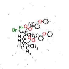 CC1(C)C(C(=O)OC(C#N)c2cccc(Oc3ccccc3)c2)C1(C)C.CC1(C)[C@H](C(=O)O[C@H](C#N)c2cccc(Oc3ccccc3)c2)[C@@H]1C=C(Br)Br